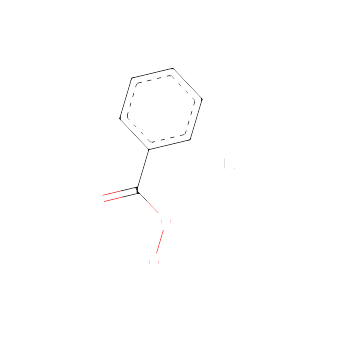 O=C(O[O-])c1ccccc1.[Hg+]